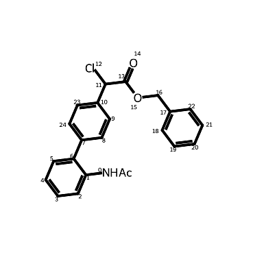 CC(=O)Nc1ccccc1-c1ccc(C(Cl)C(=O)OCc2ccccc2)cc1